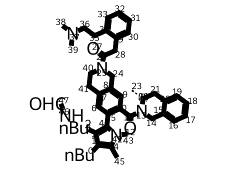 CCCCc1c(CCCC)c(-c2cc3c(cc2C(=O)N2Cc4ccccc4C[C@H]2C)CN(C(=O)Cc2ccccc2CCN(C)C)CC3)n(C)c1C.NC=O